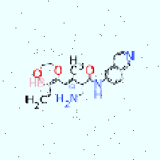 C=CC1=C(/C=C(\C)C(CN)C(=O)Nc2ccc3cnccc3c2)OCCOB1